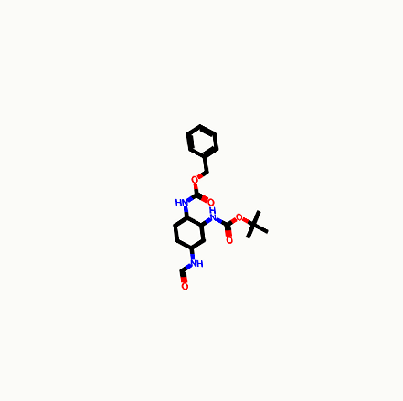 CC(C)(C)OC(=O)NC1CC(NC=O)CCC1NC(=O)OCc1ccccc1